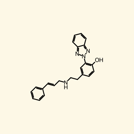 Oc1ccc(CCNC/C=C/c2ccccc2)cc1-n1nc2ccccc2n1